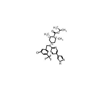 CC(C)OC(=O)N1[C@H](C)C[C@H](N(Cc2cc(Cl)cc(C(F)(F)F)c2)c2ncc(-c3cn[nH]c3)cn2)C[C@@H]1C